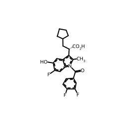 Cc1c([C@H](CC2CCCC2)C(=O)O)c2cc(O)c(F)cc2n1C(=O)c1ccc(F)c(F)c1